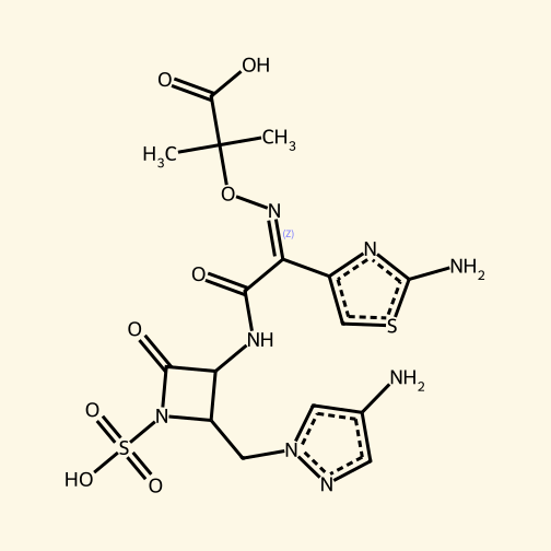 CC(C)(O/N=C(\C(=O)NC1C(=O)N(S(=O)(=O)O)C1Cn1cc(N)cn1)c1csc(N)n1)C(=O)O